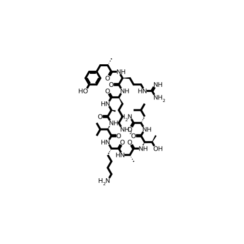 CC(C)C[C@H](NC(=O)[C@@H](NC(=O)[C@H](C)NC(=O)[C@H](CCCCN)NC(=O)[C@@H](NC(=O)[C@H](C)NC(=O)[C@H](CCCCN)NC(=O)[C@H](CCCNC(=N)N)NC(=O)[C@@H](C)Cc1ccc(O)cc1)C(C)C)[C@@H](C)O)C(N)=O